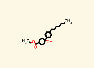 CCCCCCCc1ccc(C2(O)CCC(C(=O)OCC)CC2)cc1